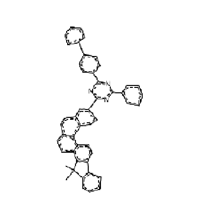 CC1(C)c2ccccc2-c2ccc3c(ccc4ccc5cc(-c6nc(-c7ccccc7)nc(-c7ccc(-c8ccccc8)cc7)n6)ccc5c43)c21